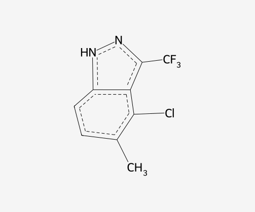 Cc1ccc2[nH]nc(C(F)(F)F)c2c1Cl